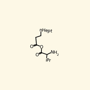 CCCCCCCCCC(=O)OC(=O)C(N)C(C)C